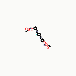 C=CC(=O)O/C=C\Oc1ccc(/C=C/c2ccc(/C=C/c3cccc(O/C=C\OC(=O)C=C)c3)c(F)c2)cc1